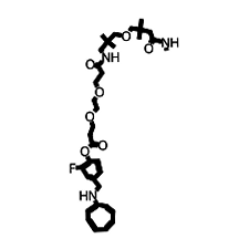 CNC(=O)CC(C)(C)COCC(C)(C)CNC(=O)CCOCCOCCC(=O)Oc1ccc(CNC2=C/C=C\C=C/C=C\2)cc1F